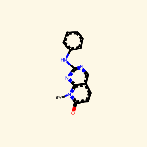 CC(C)n1c(=O)ccc2cnc(Nc3ccccc3)nc21